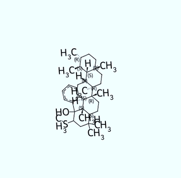 CSC1CC(C)(C)[C@@H]2CC[C@]3(C)[C@H](CC[C@@H]4[C@@H]5[C@@H](C)[C@H](C)CC[C@]5(C)CC[C@]43C)[C@@]2(C)C1(O)c1ccccc1